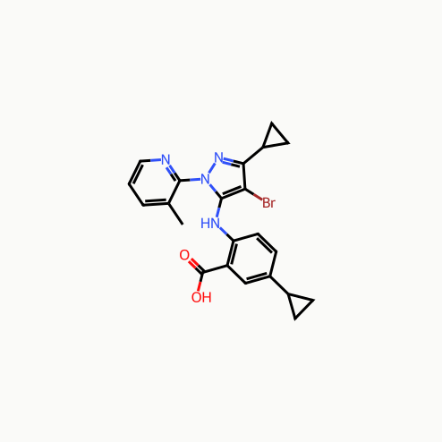 Cc1cccnc1-n1nc(C2CC2)c(Br)c1Nc1ccc(C2CC2)cc1C(=O)O